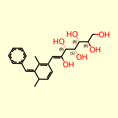 CC1=C(C=C(O)[C@H](O)[C@@H](O)[C@H](O)[C@H](O)CO)C=CC(C)C1=Cc1ccccc1